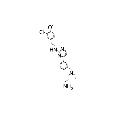 CCN(CCCN)Cc1cccc(-c2ccnc(NCCc3ccc(OC)c(Cl)c3)n2)c1